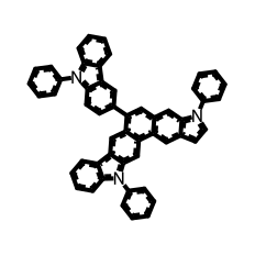 c1ccc(-n2ccc3cc4c(cc(-c5ccc6c(c5)c5ccccc5n6-c5ccccc5)c5cc6c7ccccc7n(-c7ccccc7)c6cc54)cc32)cc1